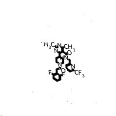 Cc1nc(C)c(C(=O)NCc2cccc(C(F)(F)F)n2)c(C2CCN(C(=O)Cc3c(F)cccc3F)CC2)n1